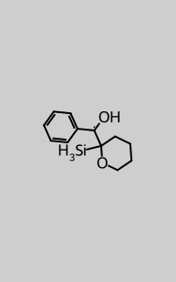 O[C](c1ccccc1)C1([SiH3])CCCCO1